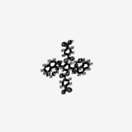 CCn1c(-c2cc(OC(=O)c3ccc([N+](=O)[O-])cc3)c(-c3nc4ccc5ccccc5c4n3CC)cc2OC(=O)c2ccc([N+](=O)[O-])cc2)nc2ccc3ccccc3c21